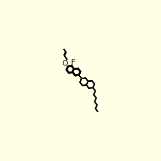 CC=CCOc1ccc2cc(C3CCC4CC(CCCCCCC)CCC4C3)ccc2c1F